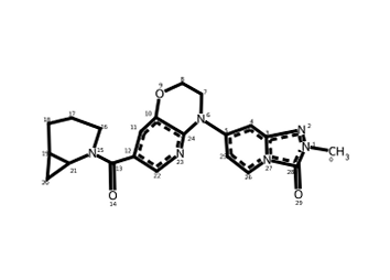 Cn1nc2cc(N3CCOc4cc(C(=O)N5CCCC6CC65)cnc43)ccn2c1=O